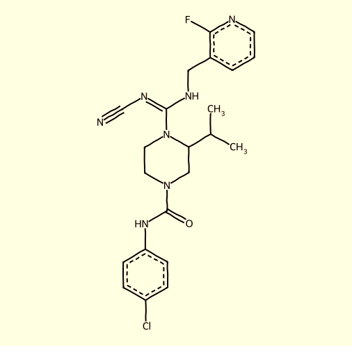 CC(C)C1CN(C(=O)Nc2ccc(Cl)cc2)CCN1/C(=N\C#N)NCc1cccnc1F